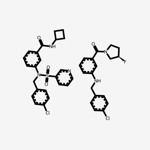 O=C(NC1CCC1)c1cccc(N(Cc2ccc(Cl)cc2)S(=O)(=O)c2cccnc2)c1.O=C(c1cccc(NCc2ccc(Cl)cc2)c1)N1CC[C@@H](F)C1